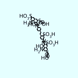 Nc1cc(S(=O)(=O)O)cc2cc(SOOO)c(N=Nc3ccc(C=Cc4ccc(N=Nc5c(S(=O)(=O)O)cc6cc(SOOO)cc(N)c6c5O)cc4S(=O)(=O)O)cc3)c(O)c12